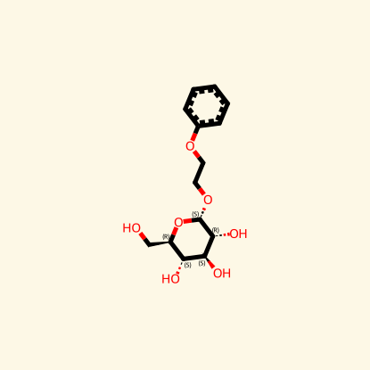 OC[C@H]1O[C@H](OCCOc2ccccc2)[C@H](O)[C@@H](O)[C@@H]1O